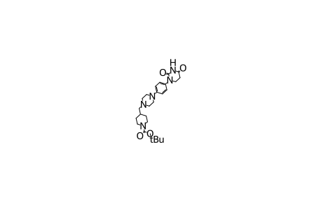 CC(C)(C)OC(=O)N1CCC(CN2CCN(c3ccc(N4CCC(=O)NC4=O)cc3)CC2)CC1